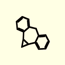 c1ccc2c(c1)Cc1ccccc1C1C[C]21